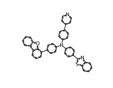 c1ccc2sc(-c3ccc(N(c4ccc(-c5ccncc5)cc4)c4ccc(-c5cccc6c5oc5ccccc56)cc4)cc3)nc2c1